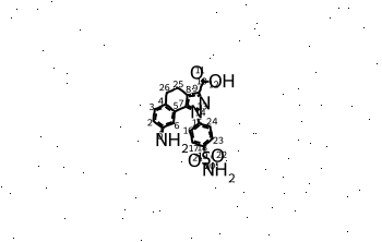 Nc1ccc2c(c1)-c1c(c(C(=O)O)nn1-c1ccc(S(N)(=O)=O)cc1)CC2